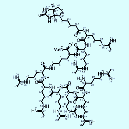 CNC(=O)C(CCCCNC(=O)[C@H](CCCNC(C)=N)NC(=O)[C@H](CCCNC(C)=N)NC(=O)[C@H](CCCNC(C)=N)NC(=O)[C@H](CCCNC(C)=N)NC(=O)[C@H](CCCNC(C)=N)NC(=O)[C@@H](N)CCCNC(C)=N)NC(=O)[C@H](CCCNC(C)=N)NC(=O)[C@H](CCCNC(C)=N)NC(=O)CCCC[C@@H]1SC[C@@H]2NC(=O)N[C@@H]21